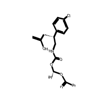 C=C(O)C[C@@H](CNC(=O)O[C@H](OC(=O)C(C)C)C(C)C)c1ccc(Cl)cc1